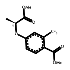 COC(=O)c1ccc(O[C@@H](C)C(=O)OC)cc1C(F)(F)F